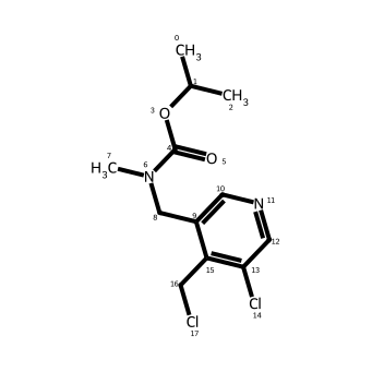 CC(C)OC(=O)N(C)Cc1cncc(Cl)c1CCl